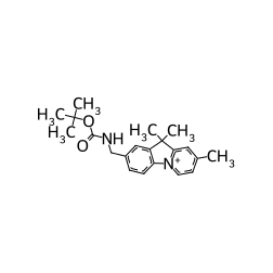 Cc1cc[n+]2c(c1)C(C)(C)c1cc(CNC(=O)OC(C)(C)C)ccc1-2